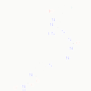 C[C@@H]1CN(CC2CCN(c3ccc4c(c3)C(=O)N([C@H]3CCC(=O)NC3=O)C4)CC2)C[C@H](C)N1C(=O)N1CCN2c3cc(-c4cc(F)cc(F)c4O)nnc3NC[C@@H]2C1